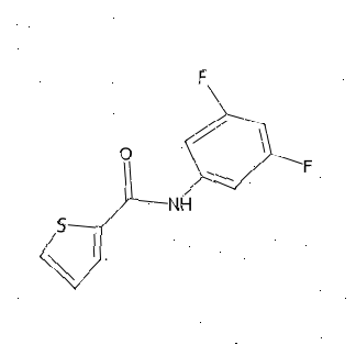 O=C(Nc1cc(F)cc(F)c1)c1[c]ccs1